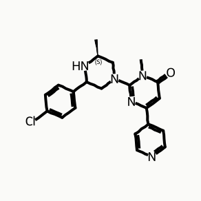 C[C@H]1CN(c2nc(-c3ccncc3)cc(=O)n2C)CC(c2ccc(Cl)cc2)N1